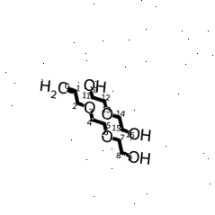 C=CCOCCOCCO.OCCOCCO